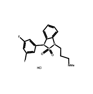 CNCCCN1c2ccccc2N(c2cc(F)cc(F)c2)S1(=O)=O.Cl